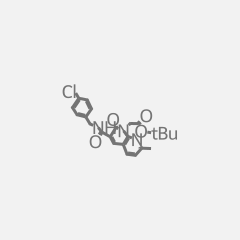 Cc1ccc2cc(C(=O)NCc3ccc(Cl)cc3)c(=O)n(CC(=O)OC(C)(C)C)c2n1